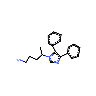 CC(CCCN)n1cnc(-c2ccccc2)c1-c1ccccc1